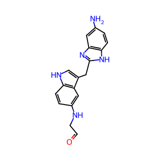 Nc1ccc2[nH]c(Cc3c[nH]c4ccc(NCC=O)cc34)nc2c1